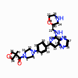 CC1(C(=O)N2CCN(c3ccc(-c4cc5nccnc5c(NC[C@@H]5CNCCO5)n4)cc3)CC2)COC1